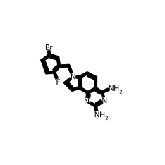 Nc1nc(N)c2ccc3c(ccn3Cc3cc(Br)ccc3F)c2n1